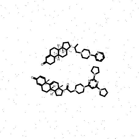 CC(CN1CCN(c2ccccn2)CC1)[C@H]1CC[C@H]2[C@@H]3CCC4=CC(=O)CC[C@]4(C)[C@H]3CC[C@]12C.C[C@]12C=CC(=O)C=C1CC[C@@H]1C2=CC[C@]2(C)[C@@H](C(=O)CN3CCN(c4cc(N5CCCC5)nc(N5CCCC5)n4)CC3)CC[C@@H]12